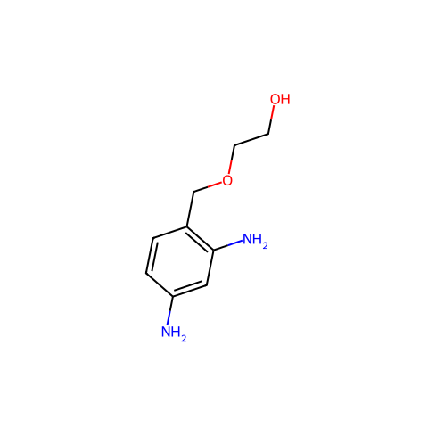 Nc1ccc(COCCO)c(N)c1